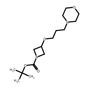 CC(C)(C)OC(=O)N1CC(OCCCN2CCOCC2)C1